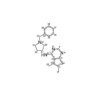 Cc1sc2ncnc(N[C@@H]3CCN(Cc4ccccc4)C3)c2c1C